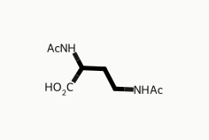 CC(=O)NCCC(NC(C)=O)C(=O)O